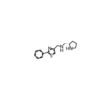 c1ccc(-c2nc(CNC[C@@H]3CCCN3)cs2)cc1